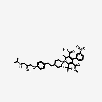 COC(=O)C1=C(C(F)(F)F)N(N2CCC(CCc3ccc(OCC(O)CNC(C)C)cc3)CC2)C(C)C(C(=O)O)=C1c1cccc([N+](=O)[O-])c1